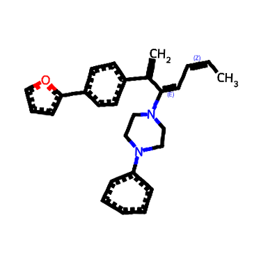 C=C(/C(=C\C=C/C)N1CCN(c2ccccc2)CC1)c1ccc(-c2ccco2)cc1